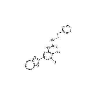 O=C(NCCc1ccccc1)Nc1cc(-c2nc3ccccc3s2)cc(Cl)c1O